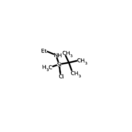 CCN[Si](C)(Cl)C(C)(C)C